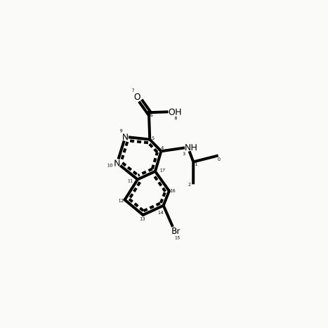 CC(C)Nc1c(C(=O)O)nnc2ccc(Br)cc12